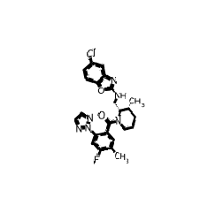 Cc1cc(C(=O)N2CCC[C@@H](C)[C@H]2CNc2nc3cc(Cl)ccc3o2)c(-n2nccn2)cc1F